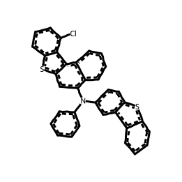 Clc1cccc2sc3cc(N(c4ccccc4)c4ccc5sc6ccccc6c5c4)c4ccccc4c3c12